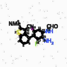 CNc1sc2cccc(-c3c(I)cc(NC=O)c(N)c3F)c2c1C#N